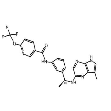 Cc1c[nH]c2ncc(N[C@@H](C)c3cccc(NC(=O)c4ccc(OC(F)(F)F)nc4)c3)nc12